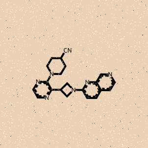 N#CC1CCN(c2nccnc2C2CN(c3ccc4ccncc4n3)C2)CC1